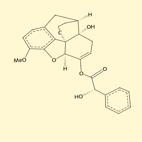 COc1ccc2c3c1O[C@@H]1C(OC(=O)[C@@H](O)c4ccccc4)=CC[C@]4(O)[C@@H](CCC[C@@]314)C2